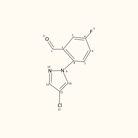 O=Cc1cc(F)ccc1-n1cc(Cl)cn1